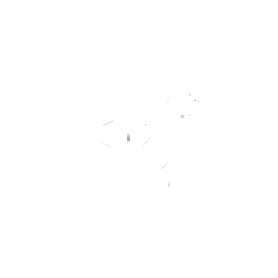 O=C(O)Cc1cn(Cc2ccncc2)c2ccc(Cl)cc12